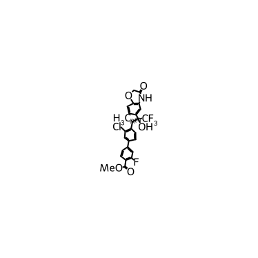 COC(=O)c1ccc(-c2ccc([C@@H](C)[C@@](O)(c3ccc4c(c3)NC(=O)CO4)C(F)(F)F)c(Cl)c2)cc1F